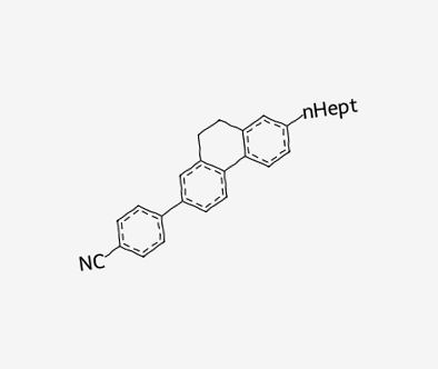 CCCCCCCc1ccc2c(c1)CCc1cc(-c3ccc(C#N)cc3)ccc1-2